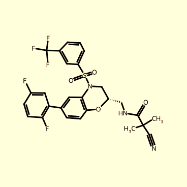 CC(C)(C#N)C(=O)NC[C@H]1CN(S(=O)(=O)c2cccc(C(F)(F)F)c2)c2cc(-c3cc(F)ccc3F)ccc2O1